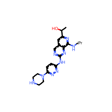 CC(C)Nc1nc(C(C)O)cc2cnc(Nc3ccc(N4CCNCC4)nn3)nc12